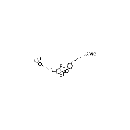 C=CC(=O)OCCCCCCc1cc(F)c(C(F)(F)Oc2ccc(CCCCCCOC)cc2)c(F)c1